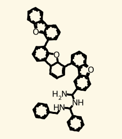 NC(NC(NCc1ccccc1)c1ccccc1)c1ccc2oc3cccc(C4=CC=CC5c6cccc(-c7cccc8c7oc7ccccc78)c6OC45)c3c2c1